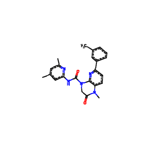 Cc1cc(C)nc(NC(=O)N2CC(=O)N(C)c3ccc(-c4cccc(C(F)(F)F)c4)nc32)c1